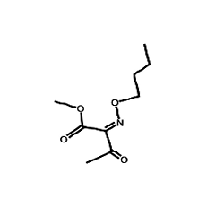 CCCCO/N=C(/C(C)=O)C(=O)OC